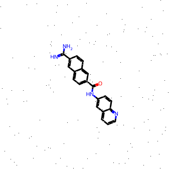 N=C(N)c1ccc2cc(C(=O)Nc3ccc4ncccc4c3)ccc2c1